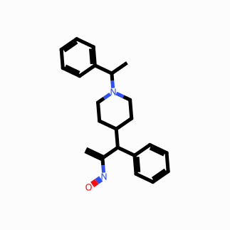 C=C(N=O)C(c1ccccc1)C1CCN(C(C)c2ccccc2)CC1